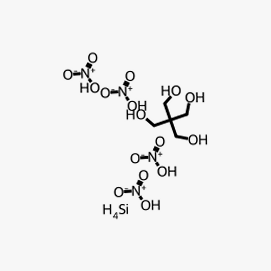 O=[N+]([O-])O.O=[N+]([O-])O.O=[N+]([O-])O.O=[N+]([O-])O.OCC(CO)(CO)CO.[SiH4]